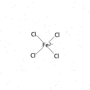 [Cl][Fe-2]([Cl])([Cl])[Cl]